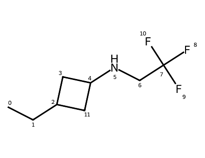 CCC1CC(NCC(F)(F)F)C1